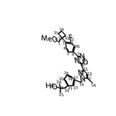 COCC1(c2ccc(-c3noc(-c4cc(C)n(Cc5cccc(CC(C)(C)O)c5)n4)n3)cc2F)CCC1